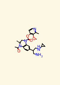 COc1c(OC(=O)N2C[C@H](C)N(C(C)=O)c3ccc(C(CN)CNC4CC4)cc32)ccnc1C